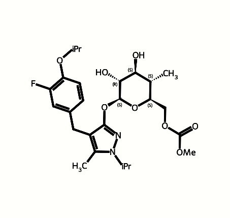 COC(=O)OC[C@H]1O[C@@H](Oc2nn(C(C)C)c(C)c2Cc2ccc(OC(C)C)c(F)c2)[C@H](O)[C@@H](O)[C@@H]1C